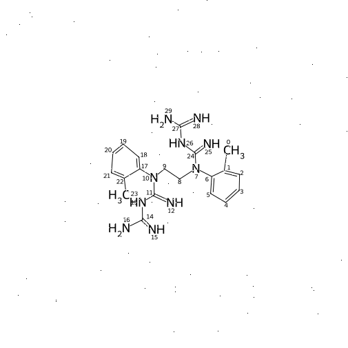 Cc1ccccc1N(CCN(C(=N)NC(=N)N)c1ccccc1C)C(=N)NC(=N)N